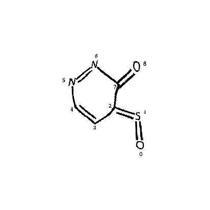 O=S=C1C=CN=NC1=O